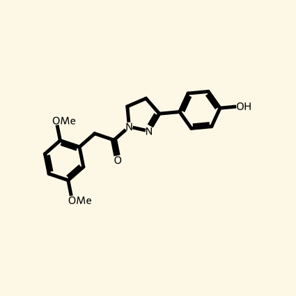 COc1ccc(OC)c(CC(=O)N2CCC(c3ccc(O)cc3)=N2)c1